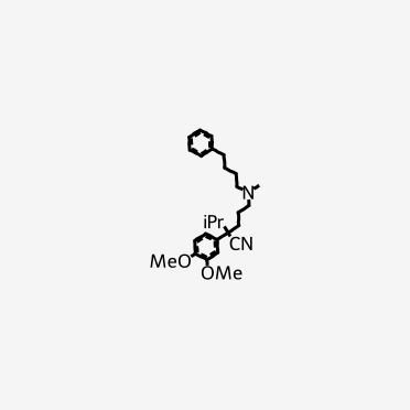 COc1ccc(C(C#N)(CCCN(C)CCCCc2ccccc2)C(C)C)cc1OC